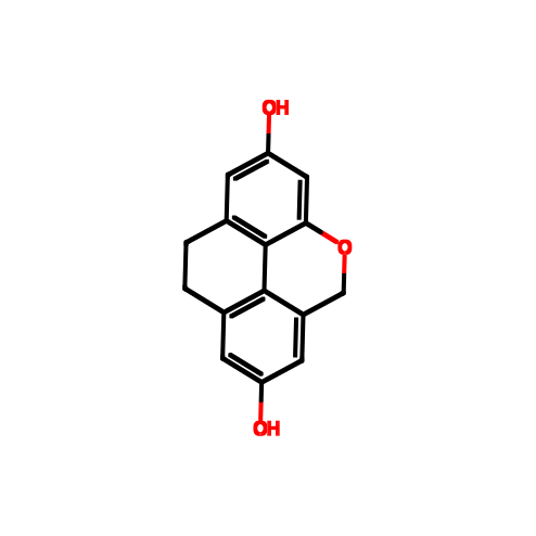 Oc1cc2c3c(c1)COc1cc(O)cc(c1-3)CC2